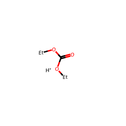 CCOC(=O)OCC.[H+]